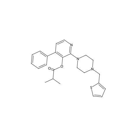 CC(C)C(=O)Oc1c(-c2ccccc2)ccnc1N1CCN(Cc2cccs2)CC1